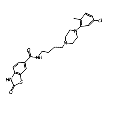 Cc1ccc(Cl)cc1N1CCN(CCCCNC(=O)c2ccc3[nH]c(=O)sc3c2)CC1